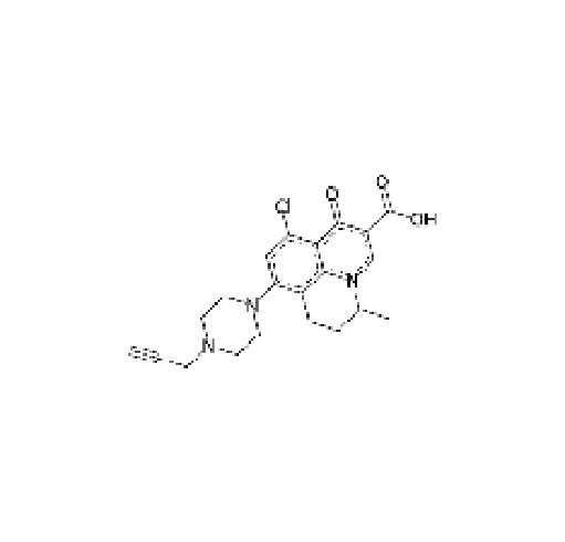 C#CCN1CCN(c2cc(Cl)c3c(=O)c(C(=O)O)cn4c3c2CCC4C)CC1